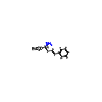 CCOC(=O)[C@@H](N)CC=Cc1ccccc1